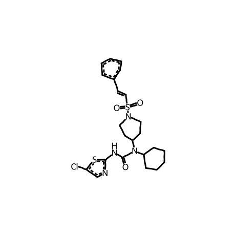 O=C(Nc1ncc(Cl)s1)N(C1CCCCC1)C1CCN(S(=O)(=O)C=Cc2ccccc2)CC1